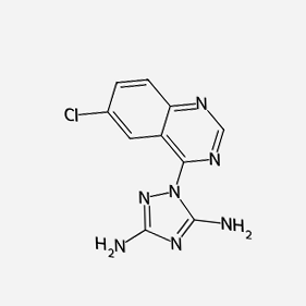 Nc1nc(N)n(-c2ncnc3ccc(Cl)cc23)n1